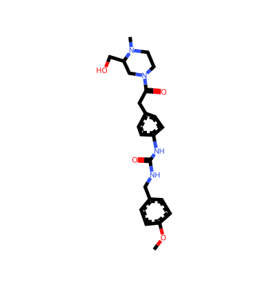 COc1ccc(CNC(=O)Nc2ccc(CC(=O)N3CCN(C)C(CO)C3)cc2)cc1